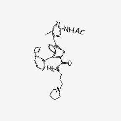 CC(=O)Nc1cc(-c2cc(C(=O)NCCCN3CCCC3)c(-c3ccccc3Cl)o2)c(C)cn1